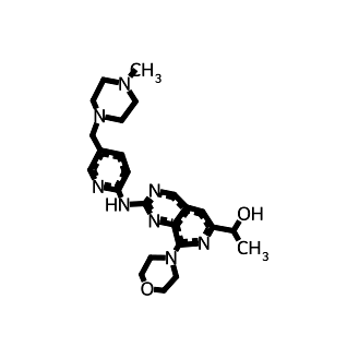 CC(O)c1cc2cnc(Nc3ccc(CN4CCN(C)CC4)cn3)nc2c(N2CCOCC2)n1